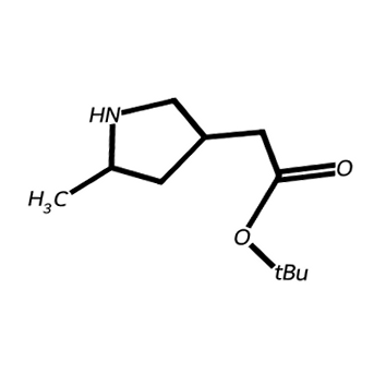 CC1CC(CC(=O)OC(C)(C)C)CN1